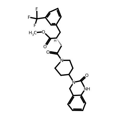 COC(=O)[C@@H](CC(=O)N1CCC(N2Cc3ccccc3NC2=O)CC1)Cc1cccc(C(F)(F)F)c1